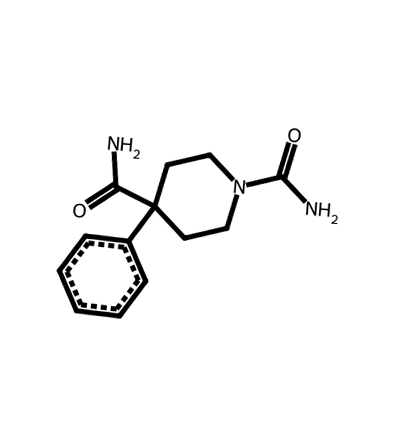 NC(=O)N1CCC(C(N)=O)(c2ccccc2)CC1